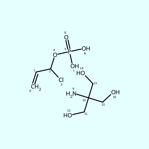 C=CC(Cl)OP(=O)(O)O.NC(CO)(CO)CO